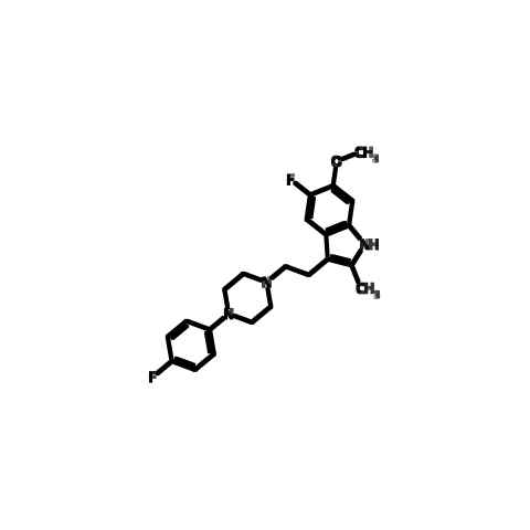 COc1cc2[nH]c(C)c(CCN3CCN(c4ccc(F)cc4)CC3)c2cc1F